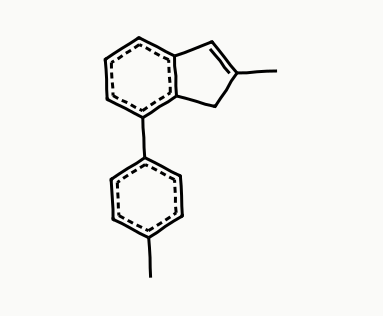 CC1=Cc2cccc(-c3ccc(C)cc3)c2C1